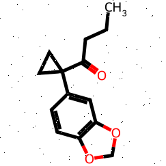 CCCC(=O)C1(c2ccc3c(c2)OCO3)CC1